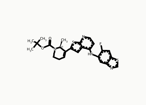 C[C@H]1C(c2cc3c(Nc4cc5ncsc5cc4F)ccnc3s2)=CCCN1C(=O)OC(C)(C)C